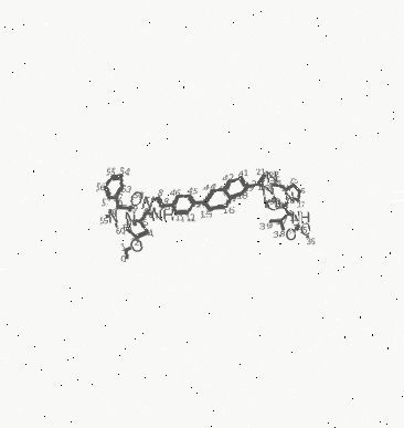 CCOC1CC(c2ncc(-c3ccc(-c4ccc5cc(-c6cnc(C7CCCN7C(=O)C(NC(=O)OC)C(C)C)[nH]6)ccc5c4)cc3)[nH]2)N(C(=O)C(c2ccccc2)N(C)C)C1